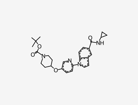 CC(C)(C)OC(=O)N1CCC(Oc2ccc(-n3ccc4cc(C(=O)NC5CC5)ccc43)nc2)CC1